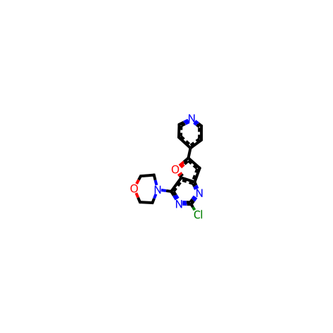 Clc1nc(N2CCOCC2)c2oc(-c3ccncc3)cc2n1